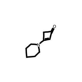 O=C1C=C(N2CCCCC2)C1